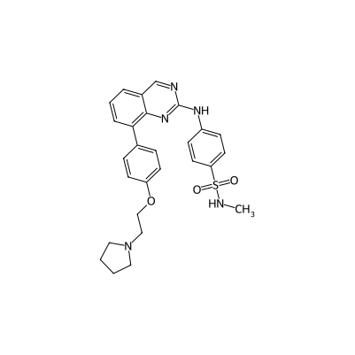 CNS(=O)(=O)c1ccc(Nc2ncc3cccc(-c4ccc(OCCN5CCCC5)cc4)c3n2)cc1